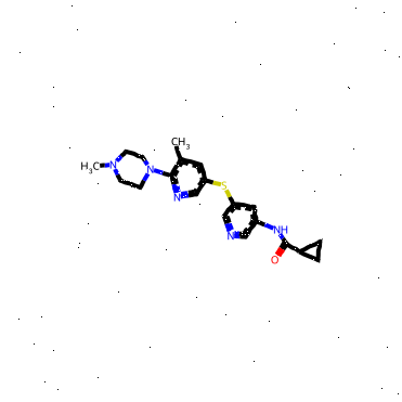 Cc1cc(Sc2cncc(NC(=O)C3CC3)c2)cnc1N1CCN(C)CC1